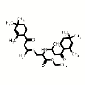 CCOC(=O)C(CSC(C)CC(=O)C1CCC(C)(C)C=C1C)NC(C)CC(=O)C1CCC(C)(C)C=C1C